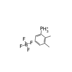 Cc1cccc([PH3+])c1C.F[B-](F)(F)F